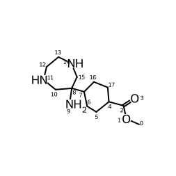 COC(=O)C1CCC(C2(N)CNCCNC2)CC1